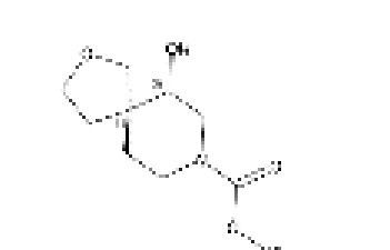 CC(C)(C)OC(=O)N1CC[C@]2(CCOC2)[C@H](O)C1